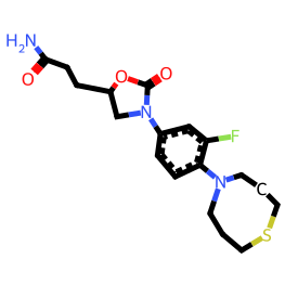 NC(=O)CCC1CN(c2ccc(N3CCCSCCC3)c(F)c2)C(=O)O1